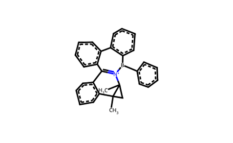 CC12CC1(C)[N+]1=C(c3ccccc3-c3ccccc3B1c1ccccc1)c1ccccc12